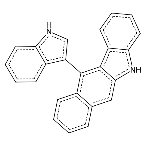 c1ccc2c(-c3c[nH]c4ccccc34)c3c(cc2c1)[nH]c1ccccc13